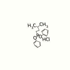 CC(C)CCP(Oc1ccccc1)Oc1ccccc1.Cl